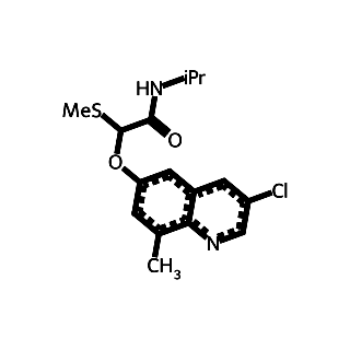 CSC(Oc1cc(C)c2ncc(Cl)cc2c1)C(=O)NC(C)C